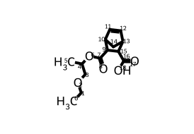 CCOCC(C)OC(=O)C1C2C=CC(C2)C1C(=O)O